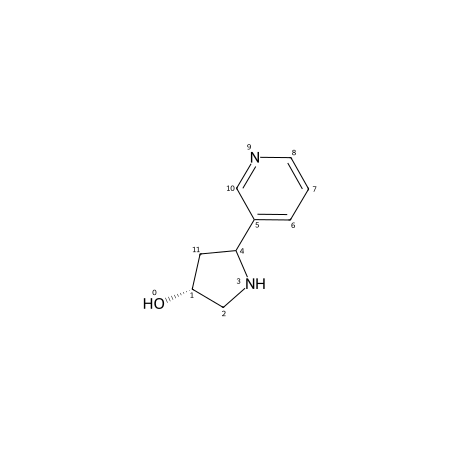 O[C@H]1CNC(c2cccnc2)C1